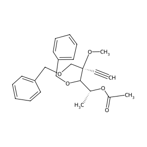 C#C[C@](COCc1ccccc1)(OC)C(OCc1ccccc1)[C@@H](C)OC(C)=O